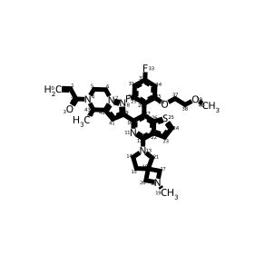 C=CC(=O)N1CCn2nc(-c3nc(N4CCC5(CN(C)C5)C4)c4ccsc4c3-c3c(F)cc(F)cc3OCCOC)cc2C1C